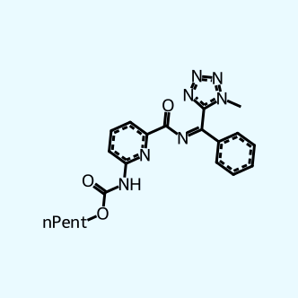 CCCCCOC(=O)Nc1cccc(C(=O)/N=C(/c2ccccc2)c2nnnn2C)n1